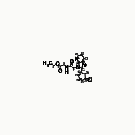 CCOC(=O)CNC(=O)Cn1c(-c2cccc(Cl)c2)nc2cccnc21